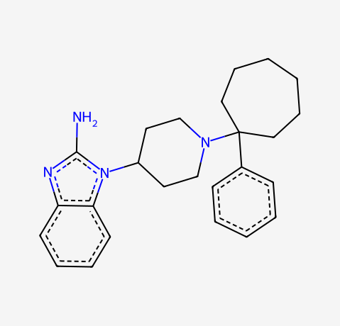 Nc1nc2ccccc2n1C1CCN(C2(c3ccccc3)CCCCCC2)CC1